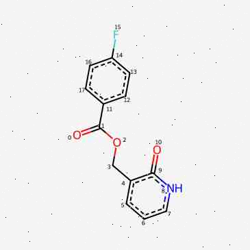 O=C(OCc1ccc[nH]c1=O)c1ccc(F)cc1